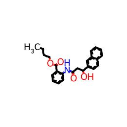 CCCCOC(=O)c1ccccc1NC(=O)CC(O)c1ccc2ccccc2c1